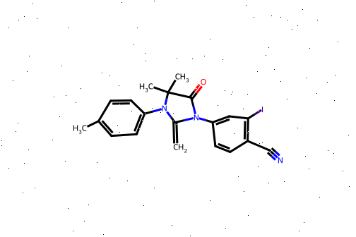 C=C1N(c2ccc(C#N)c(I)c2)C(=O)C(C)(C)N1c1ccc(C)cc1